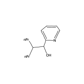 CCCC(CCC)C(O)c1ccccn1